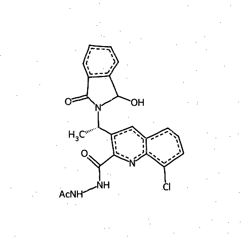 CC(=O)NNC(=O)c1nc2c(Cl)cccc2cc1[C@H](C)N1C(=O)c2ccccc2C1O